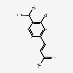 O=C(O)/C=C/c1ccc(C(O)O)c(Cl)c1